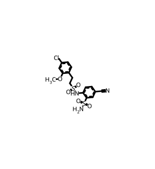 COc1cc(Cl)ccc1CCS(=O)(=O)Nc1ccc(C#N)cc1S(N)(=O)=O